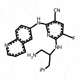 CC(C)CC(CN)Nc1nc(Nc2ccc3ncccc3c2)c(C#N)cc1F